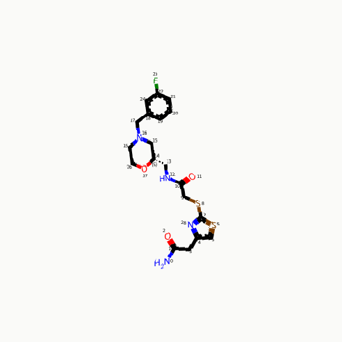 NC(=O)Cc1csc(SCC(=O)NC[C@H]2CN(Cc3cccc(F)c3)CCO2)n1